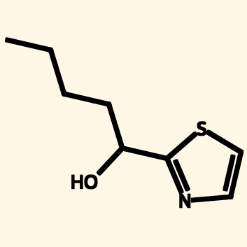 CCCCC(O)c1nccs1